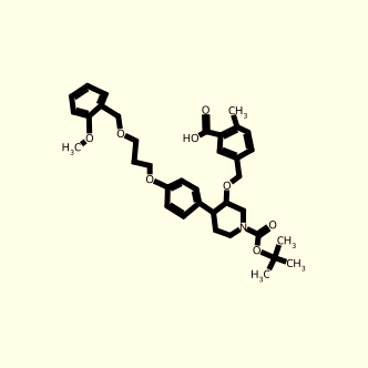 COc1ccccc1COCCCOc1ccc(C2CCN(C(=O)OC(C)(C)C)CC2OCc2ccc(C)c(C(=O)O)c2)cc1